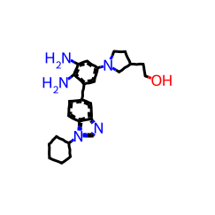 Nc1cc(N2CCC(CCO)C2)cc(-c2ccc3c(c2)ncn3C2CCCCC2)c1N